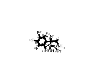 CC(C)O[Si](O)(OC(C)C)C(N)(C(N)=O)c1c(F)c(F)c(F)c(F)c1F